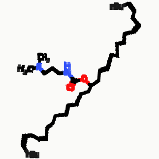 CCCC/C=C\C/C=C\CCCCCCCCC(CCCCCCCC/C=C\C/C=C\CCCC)OC(=O)NCCCN(C)C